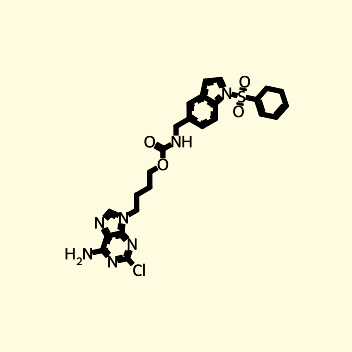 Nc1nc(Cl)nc2c1ncn2CCCCOC(=O)NCc1ccc2c(ccn2S(=O)(=O)C2=CC=CCC2)c1